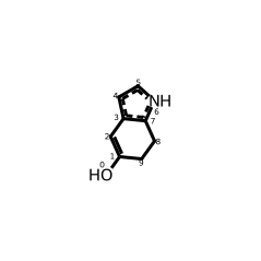 OC1=Cc2cc[nH]c2CC1